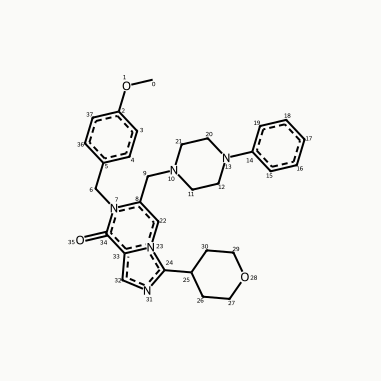 COc1ccc(Cn2c(CN3CCN(c4ccccc4)CC3)cn3c(C4CCOCC4)ncc3c2=O)cc1